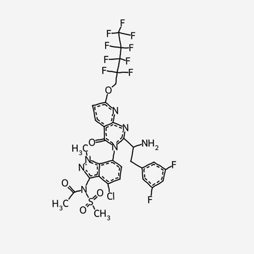 CC(=O)N(c1nn(C)c2c(-n3c(C(N)Cc4cc(F)cc(F)c4)nc4nc(OCC(F)(F)C(F)(F)C(F)(F)C(F)(F)F)ccc4c3=O)ccc(Cl)c12)S(C)(=O)=O